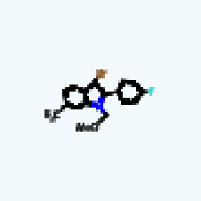 COCn1c(-c2ccc(F)cc2)c(Br)c2ccc(C(F)(F)F)cc21